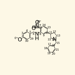 COc1ccc(CNc2cc(C3CCN(Cc4ccccc4)C3)ccc2[N+](=O)[O-])cc1